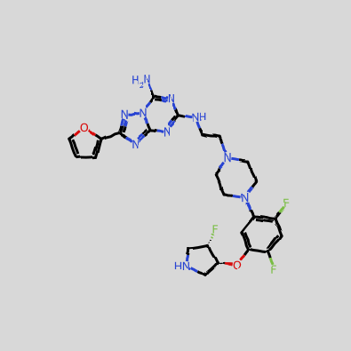 Nc1nc(NCCN2CCN(c3cc(O[C@H]4CNC[C@@H]4F)c(F)cc3F)CC2)nc2nc(-c3ccco3)nn12